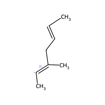 C/[C]=C(\C)CC=CC